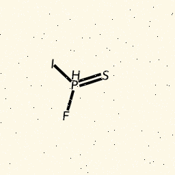 F[PH](=S)I